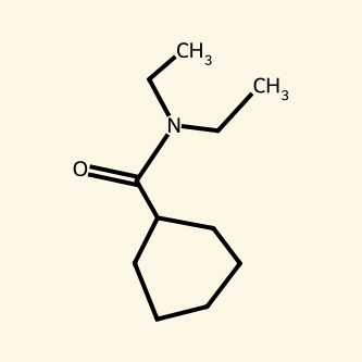 CCN(CC)C(=O)C1CCCCC1